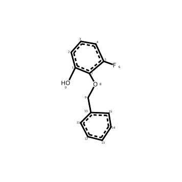 Oc1cccc(F)c1OCc1ccccc1